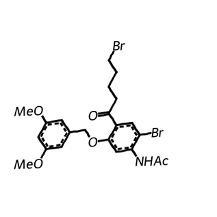 COc1cc(COc2cc(NC(C)=O)c(Br)cc2C(=O)CCCCBr)cc(OC)c1